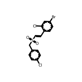 O=S(=O)(C=Cc1ccc(Br)cc1Cl)Cc1ccc(Cl)cc1